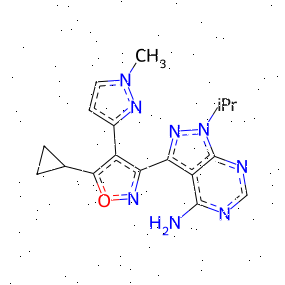 CC(C)n1nc(-c2noc(C3CC3)c2-c2ccn(C)n2)c2c(N)ncnc21